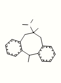 CC(=O)N(C)C1(C)Cc2ccccc2C(C)c2ccccc2C1